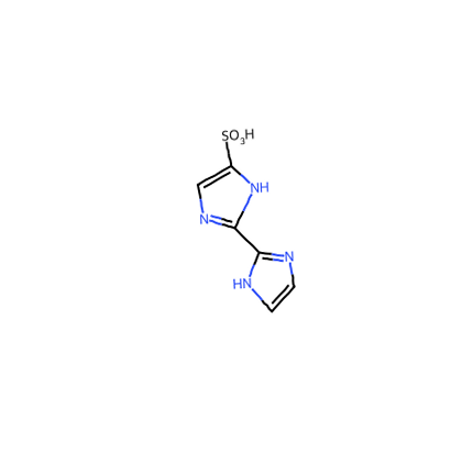 O=S(=O)(O)c1cnc(-c2ncc[nH]2)[nH]1